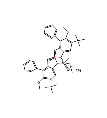 COc1c(C(C)(C)C)cc2c(c1-c1ccccc1)C=C(C)[CH]2[Zr]([CH3])([CH3])(=[SiH2])[CH]1C(C)=Cc2c1cc(C(C)(C)C)c(OC)c2-c1ccccc1.Cl.Cl